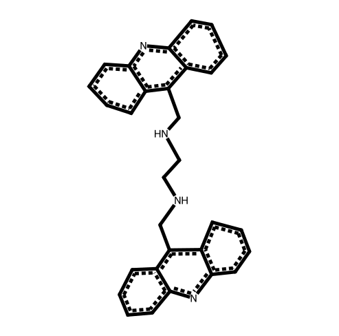 c1ccc2c(CNCCNCc3c4ccccc4nc4ccccc34)c3ccccc3nc2c1